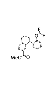 COC(=O)c1ccc2c(c1)C(c1ccccc1OC(F)F)=CCC2